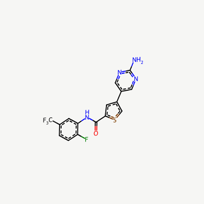 Nc1ncc(-c2csc(C(=O)Nc3cc(C(F)(F)F)ccc3F)c2)cn1